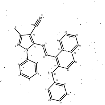 Cc1nn(-c2ccccc2)c(N=Nc2c(Nc3ccccc3)ccc3ccccc23)c1C#N